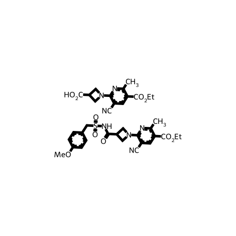 CCOC(=O)c1cc(C#N)c(N2CC(C(=O)NS(=O)(=O)Cc3ccc(OC)cc3)C2)nc1C.CCOC(=O)c1cc(C#N)c(N2CC(C(=O)O)C2)nc1C